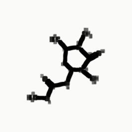 COC(=O)OC1CC(C)N(C)C(=O)N1O